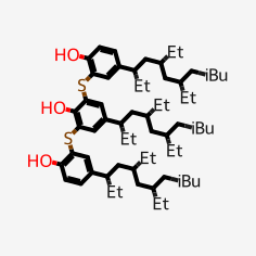 CCC(C)CC(CC)CC(CC)CC(CC)c1ccc(O)c(Sc2cc(C(CC)CC(CC)CC(CC)CC(C)CC)cc(Sc3cc(C(CC)CC(CC)CC(CC)CC(C)CC)ccc3O)c2O)c1